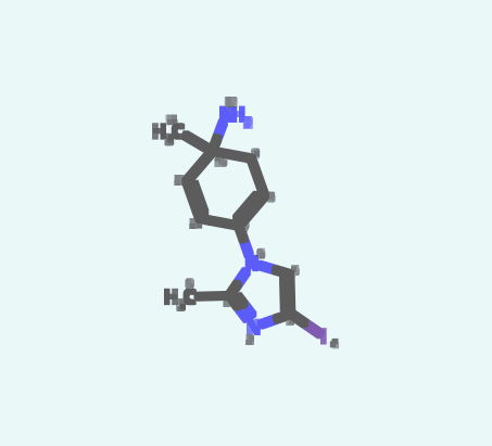 Cc1nc(I)cn1C1=CCC(C)(N)C=C1